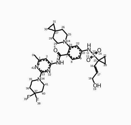 Cc1cc(NC(=O)c2ccc(NS(=O)(=O)C3(/C=C/CO)CC3)cc2N2CCC3(CC2)CC3)nc(N2CCC(F)(F)CC2)n1